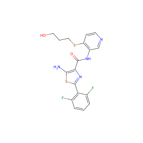 Nc1sc(-c2c(F)cccc2F)nc1C(=O)Nc1cnccc1SCCCO